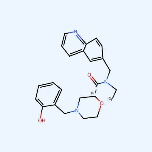 CC(C)CN(Cc1ccc2ncccc2c1)C(=O)[C@H]1CN(Cc2ccccc2O)CCO1